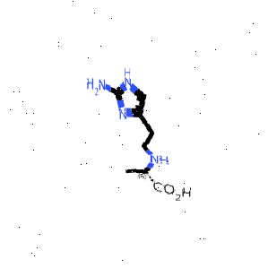 C[C@H](NCCc1c[nH]c(N)n1)C(=O)O